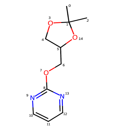 CC1(C)OCC(COc2ncccn2)O1